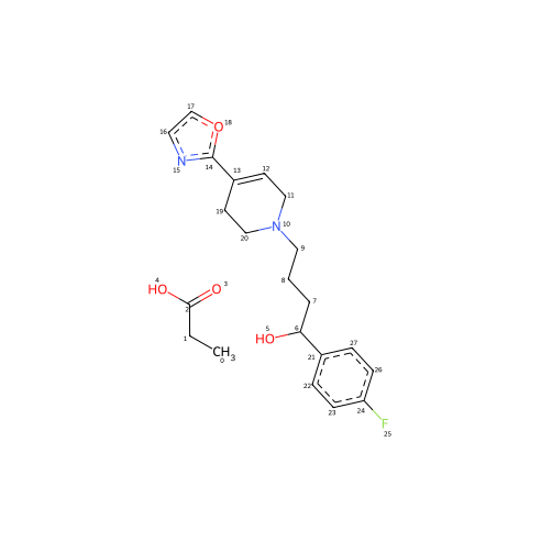 CCC(=O)O.OC(CCCN1CC=C(c2ncco2)CC1)c1ccc(F)cc1